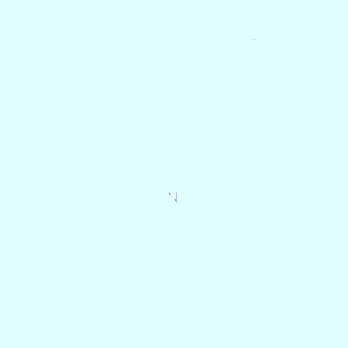 Cc1ccccc1N(c1ccc(F)cc1)C(C)(C)C